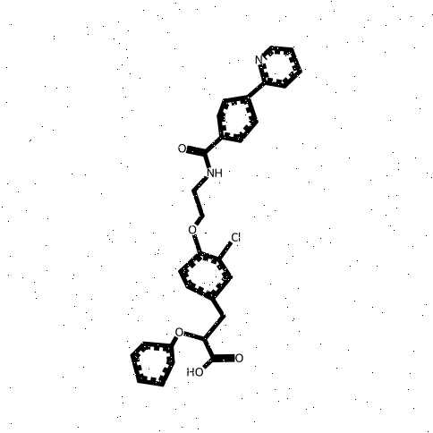 O=C(NCCOc1ccc(CC(Oc2ccccc2)C(=O)O)cc1Cl)c1ccc(-c2ccccn2)cc1